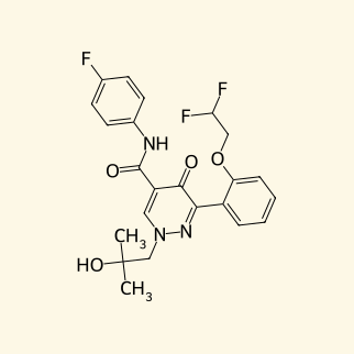 CC(C)(O)Cn1cc(C(=O)Nc2ccc(F)cc2)c(=O)c(-c2ccccc2OCC(F)F)n1